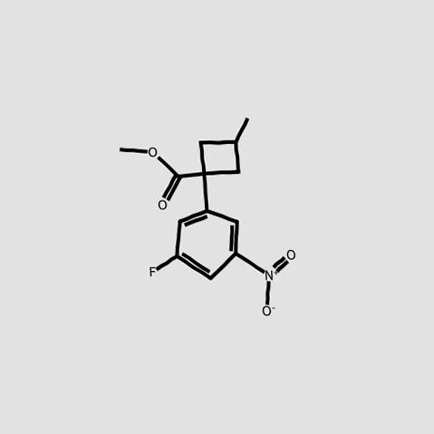 COC(=O)C1(c2cc(F)cc([N+](=O)[O-])c2)CC(C)C1